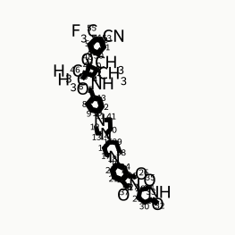 CC1(C)[C@H](NC(=O)c2ccc(N3CCN(C4CCN(c5ccc6c(c5)C(=O)N(C5CCC(=O)NC5=O)C6=O)CC4)CC3)cc2)C(C)(C)[C@H]1Oc1ccc(C#N)c(C(F)(F)F)c1